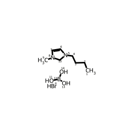 Br.CCCCN1C=CN(C)C1.OB(O)O